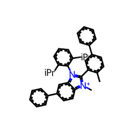 Cc1ccc(-c2ccccc2)cc1-c1n(-c2c(C(C)C)cccc2C(C)C)c2cc(-c3ccccc3)ccc2[n+]1C